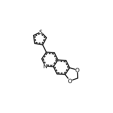 c1cc(-c2cnc3cc4c(cc3c2)OCO4)cs1